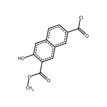 COC(=O)c1cc2cc(C(=O)Cl)ccc2cc1O